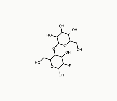 OCC1O[C@@H](O[C@@H]2C(CO)O[C@@H](O)C(F)C2O)C(O)C(O)[C@@H]1O